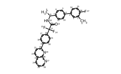 Cc1cc(-c2ccc([C@H](C)NC(=O)C(F)(F)c3ccc(-c4ccc5cccnc5n4)cc3)cc2)ccc1F